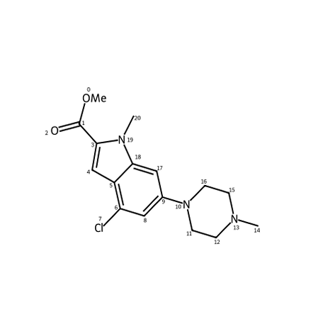 COC(=O)c1cc2c(Cl)cc(N3CCN(C)CC3)cc2n1C